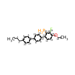 CCCc1ccc(-c2ccc(-c3ccc(OCC)c(F)c3P)cc2)cc1